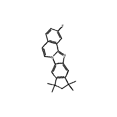 CC1(C)CC(C)(C)c2cc3c(cc21)nc1c2cc(F)ccc2ccn31